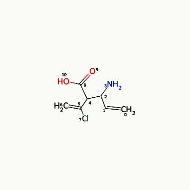 C=CC(N)C(C(=C)Cl)C(=O)O